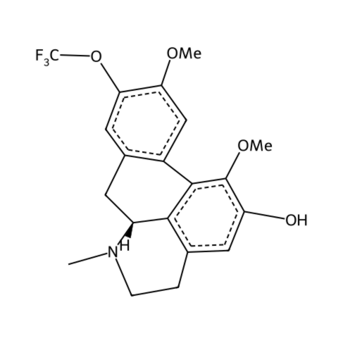 COc1cc2c(cc1OC(F)(F)F)C[C@@H]1c3c(cc(O)c(OC)c3-2)CCN1C